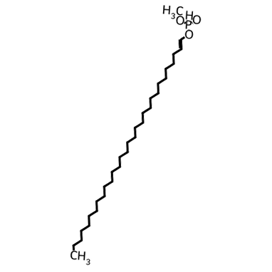 CCCCCCCCCCCCCCCCCCCCCCCCCCCCC=CO[PH](=O)OC